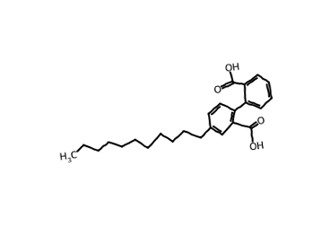 CCCCCCCCCCCc1ccc(-c2ccccc2C(=O)O)c(C(=O)O)c1